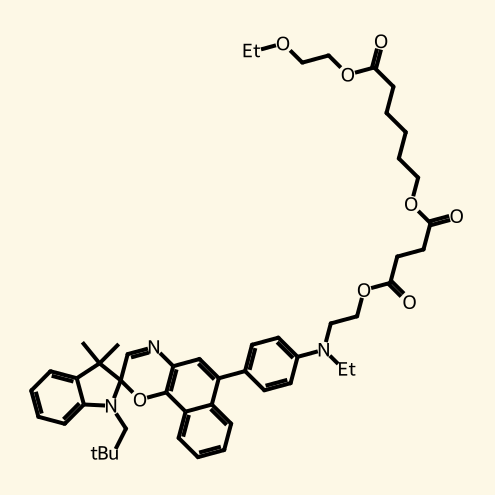 CCOCCOC(=O)CCCCCOC(=O)CCC(=O)OCCN(CC)c1ccc(-c2cc3c(c4ccccc24)OC2(C=N3)N(CC(C)(C)C)c3ccccc3C2(C)C)cc1